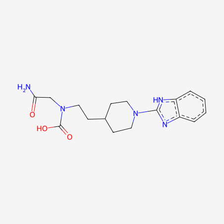 NC(=O)CN(CCC1CCN(c2nc3ccccc3[nH]2)CC1)C(=O)O